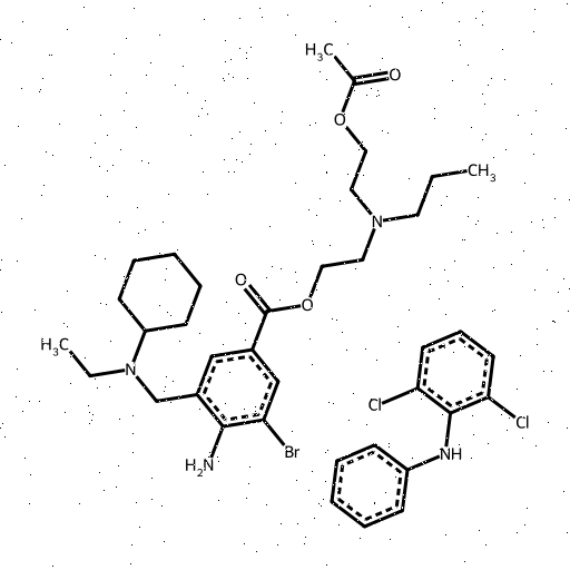 CCCN(CCOC(C)=O)CCOC(=O)c1cc(Br)c(N)c(CN(CC)C2CCCCC2)c1.Clc1cccc(Cl)c1Nc1ccccc1